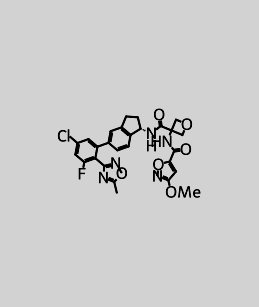 COc1cc(C(=O)NC2(C(=O)N[C@H]3CCc4cc(-c5cc(Cl)cc(F)c5-c5noc(C)n5)ccc43)COC2)on1